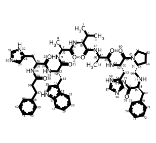 CC(C)[C@H](NC(=O)[C@H](C)NC(=O)[C@H](Cc1c[nH]c2ccccc12)NC(=O)[C@H](Cc1cnc[nH]1)NC(=O)CCc1ccccc1)C(=O)N[C@H](C)C(=O)N[C@@H](Cc1cnc[nH]1)C(=O)N1CCC[C@@H]1CN[C@@H](Cc1ccccc1)C(N)=O